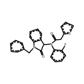 O=C1C(N(C(=O)Cc2cccs2)c2ccccc2F)c2ccccc2N1Cc1ccccc1